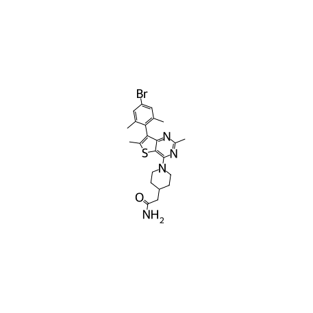 Cc1nc(N2CCC(CC(N)=O)CC2)c2sc(C)c(-c3c(C)cc(Br)cc3C)c2n1